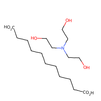 O=C(O)CCCCCCCCCC(=O)O.OCCN(CCO)CCO